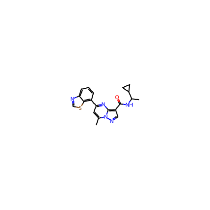 Cc1cc(-c2cccc3ncsc23)nc2c(C(=O)NC(C)C3CC3)cnn12